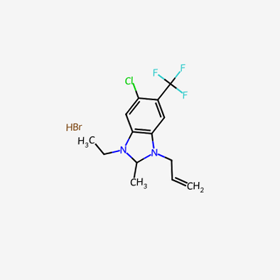 Br.C=CCN1c2cc(C(F)(F)F)c(Cl)cc2N(CC)C1C